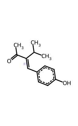 CC(=O)/C(=C/c1ccc(O)cc1)C(C)C